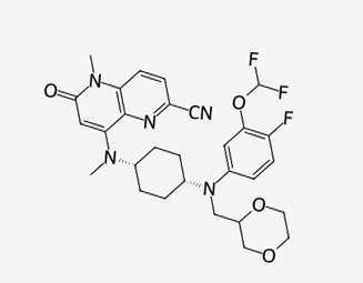 Cn1c(=O)cc(N(C)[C@H]2CC[C@@H](N(CC3COCCO3)c3ccc(F)c(OC(F)F)c3)CC2)c2nc(C#N)ccc21